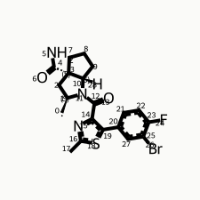 [CH2][C@H]1C[C@@]2(C(N)=O)CCC[C@@H]2N1C(=O)c1nc(C)sc1-c1ccc(F)c(Br)c1